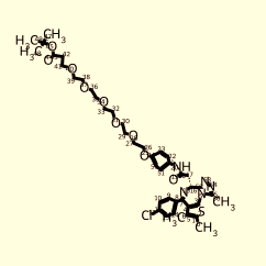 Cc1sc2c(c1C)C(c1ccc(Cl)cc1)=N[C@H](CC(=O)Nc1ccc(OCCOCCOCCOCCOCCOCCC(=O)OC(C)(C)C)cc1)c1nnc(C)n1-2